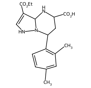 CCOC(=O)C1=CNN2C1NC(C(=O)O)CC2c1ccc(C)cc1C